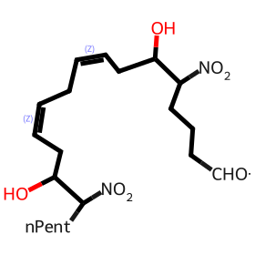 CCCCCC(C(O)C/C=C\C/C=C\CC(O)C(CCC[C]=O)[N+](=O)[O-])[N+](=O)[O-]